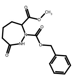 COC(=O)C1CCCC(=O)NN1C(=O)OCc1ccccc1